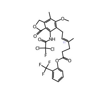 COc1c(C)c2c(c(NC(=O)C(F)(Cl)Cl)c1C/C=C(\C)CCC(=O)Oc1ccccc1C(F)(F)F)C(=O)OC2